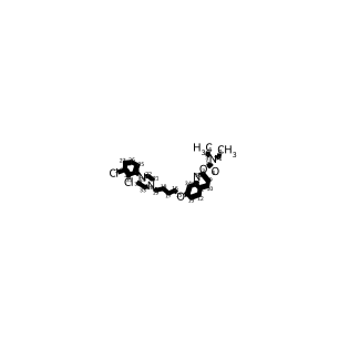 CCN(CC)C(=O)Oc1ccc2ccc(OCCCCN3CCN(c4cccc(Cl)c4Cl)CC3)cc2n1